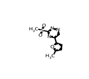 Cc1ccc(-c2cnnc(S(C)(=O)=O)n2)o1